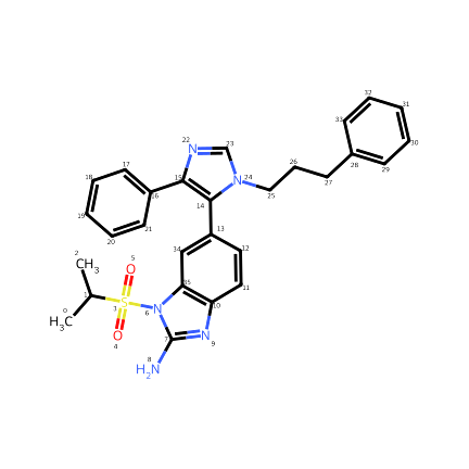 CC(C)S(=O)(=O)n1c(N)nc2ccc(-c3c(-c4ccccc4)ncn3CCCc3ccccc3)cc21